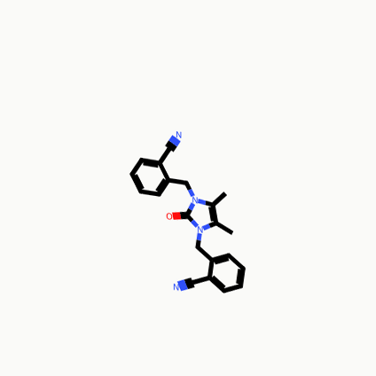 Cc1c(C)n(Cc2ccccc2C#N)c(=O)n1Cc1ccccc1C#N